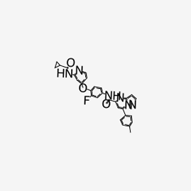 Cc1ccc(-c2cc(C(=O)Nc3ccc(Oc4ccnc(NC(=O)C5CC5)c4)c(F)c3)nc3ccnn23)cc1